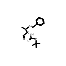 CC(OCc1ccccc1)[C@@H]([C]=O)NC(=O)OC(C)(C)C